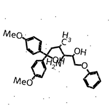 COc1ccc(C(O)(CC(C)C(N)[C@@H](O)COc2ccccc2)c2ccc(OC)cc2)cc1